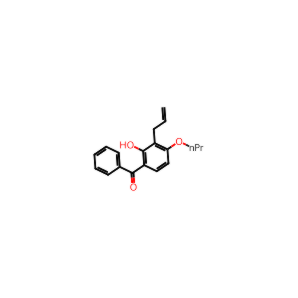 C=CCc1c(OCCC)ccc(C(=O)c2ccccc2)c1O